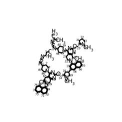 CCCN=C=NC1CCN(c2nc(OC[C@@H]3CC(c4cc(N5CCc6c(nc(OC[C@@H]7CCCN7C)nc6N6CCC(N=C=NC(C)C)CC6)C5)c5c(C)cccc5c4)CN3C)nc3c2CCN(c2cccc4cccc(C)c24)C3)CC1